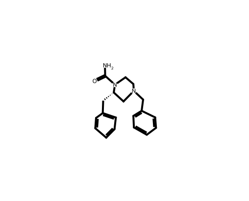 NC(=O)N1CCN(Cc2ccccc2)C[C@@H]1Cc1ccccc1